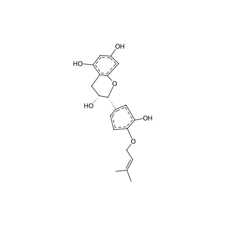 CC(C)=CCOc1ccc([C@H]2Oc3cc(O)cc(O)c3C[C@H]2O)cc1O